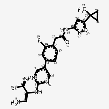 CCC(=N)/C(=C\N)Nc1ncc(-c2ccc(CC(=O)Nc3cc(C4(C(F)(F)F)CC4)on3)c(F)c2)cn1